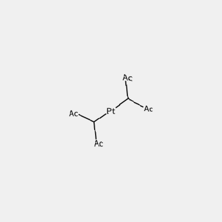 CC(=O)[CH]([Pt][CH](C(C)=O)C(C)=O)C(C)=O